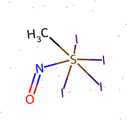 CS(I)(I)(I)(I)N=O